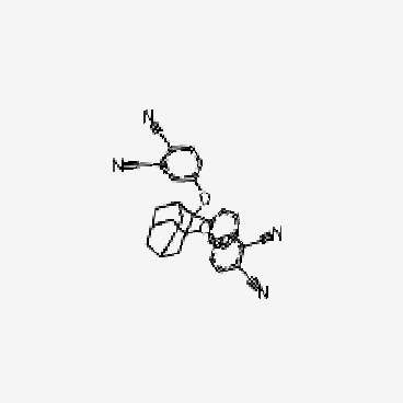 N#Cc1ccc(OC23CC4CC(CC(C4)C2(Oc2ccc(C#N)c(C#N)c2)c2ccccc2)C3)cc1C#N